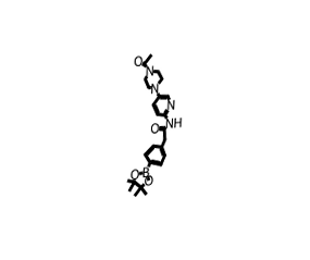 CC(=O)N1CCN(c2ccc(NC(=O)Cc3ccc(B4OC(C)(C)C(C)(C)O4)cc3)nc2)CC1